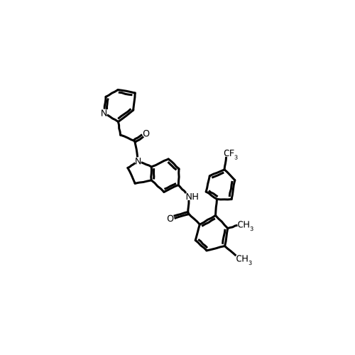 Cc1ccc(C(=O)Nc2ccc3c(c2)CCN3C(=O)Cc2ccccn2)c(-c2ccc(C(F)(F)F)cc2)c1C